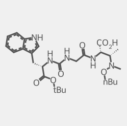 CCCCON(C)[C@@H](C)[C@H](NC(=O)CNC(=O)N[C@@H](Cc1c[nH]c2ccccc12)C(=O)OC(C)(C)C)C(=O)O